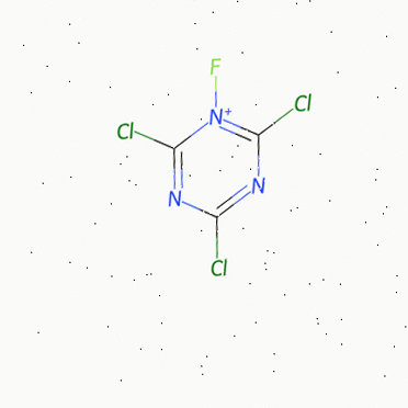 F[n+]1c(Cl)nc(Cl)nc1Cl